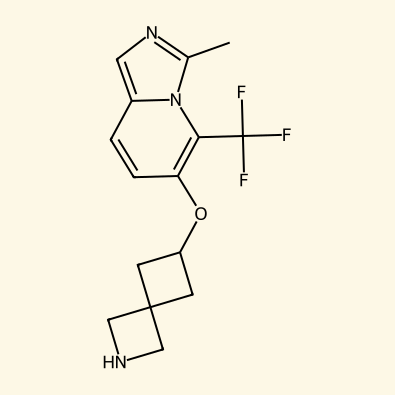 Cc1ncc2ccc(OC3CC4(CNC4)C3)c(C(F)(F)F)n12